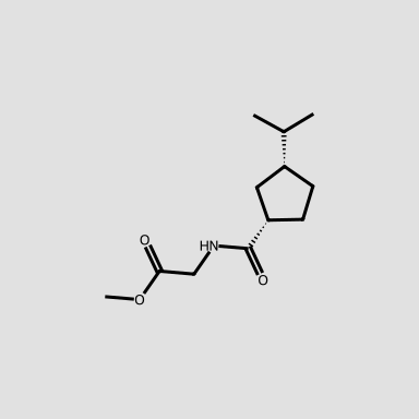 COC(=O)CNC(=O)[C@H]1CC[C@@H](C(C)C)C1